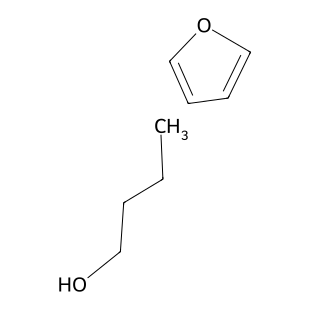 CCCCO.c1ccoc1